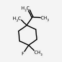 C=C(C)C1(C)CCC(C)(F)CC1